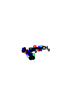 CN(CC1CN(C(=O)/C=C/c2nc(C(C)(F)F)no2)C1)c1nc(OCC23CCCN2CCC3)nc2c(F)c(-c3cccc4cccc(Cl)c34)ncc12